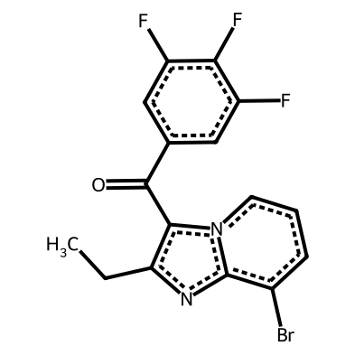 CCc1nc2c(Br)cccn2c1C(=O)c1cc(F)c(F)c(F)c1